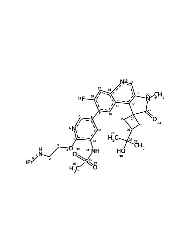 CC(C)NCCOc1ncc(-c2cc3c4c(cnc3cc2F)N(C)C(=O)C42CC(C(C)(C)O)C2)cc1NS(C)(=O)=O